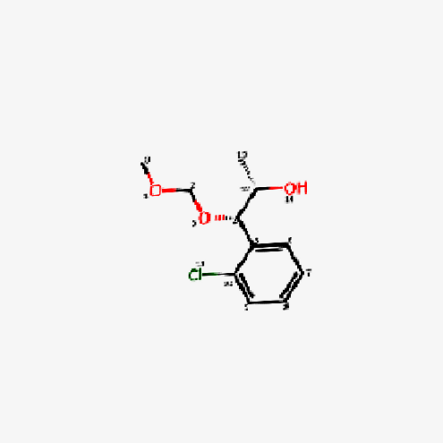 COCO[C@@H](c1ccccc1Cl)[C@H](C)O